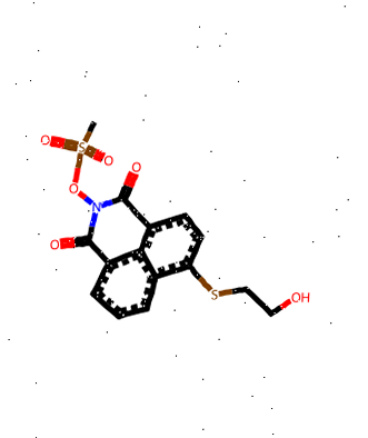 CS(=O)(=O)ON1C(=O)c2cccc3c(SCCO)ccc(c23)C1=O